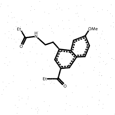 CCC(=O)NCCc1cc(C(=O)CC)cc2ccc(OC)cc12